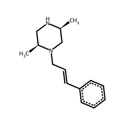 C[C@H]1CN(CC=Cc2ccccc2)[C@@H](C)CN1